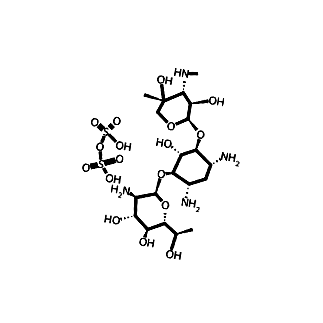 CN[C@@H]1[C@@H](O)[C@@H](O[C@@H]2[C@@H](O)[C@H](O[C@H]3O[C@H]([C@@H](C)O)[C@@H](O)[C@H](O)[C@H]3N)[C@@H](N)C[C@H]2N)OC[C@]1(C)O.O=S(=O)(O)OS(=O)(=O)O